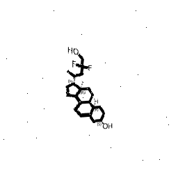 CC(CC(F)(F)CO)[C@H]1CCC2C3CC=C4C[C@@H](O)CC[C@@H]4C3CC[C@@]21C